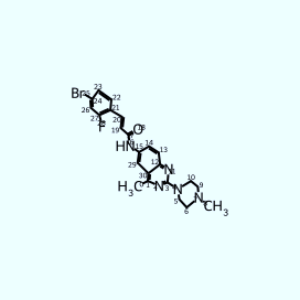 Cc1nc(N2CCN(C)CC2)nc2ccc(NC(=O)C=Cc3ccc(Br)cc3F)cc12